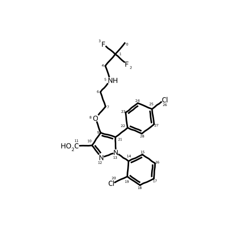 CC(F)(F)CNCCOc1c(C(=O)O)nn(-c2ccccc2Cl)c1-c1ccc(Cl)cc1